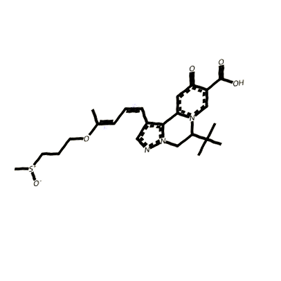 C/C(=C\C=C/c1cnn2c1-c1cc(=O)c(C(=O)O)cn1C(C(C)(C)C)C2)OCCC[S+](C)[O-]